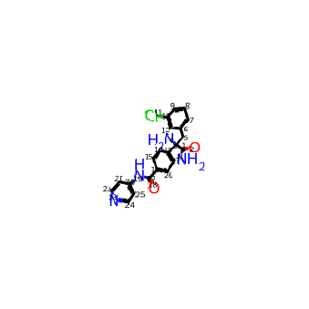 NC(=O)C(N)(Cc1cccc(Cl)c1)c1ccc(C(=O)Nc2ccncc2)cc1